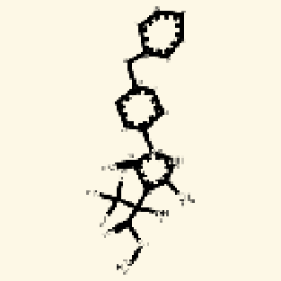 COC(=O)C(O)(c1c(C)[nH]n(-c2ccc(Cc3ccccc3)cc2)c1=O)C(F)(F)F